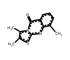 Cc1sc2nc3c(C)cccc3c(=O)n2c1C